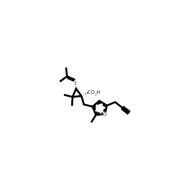 C#CCc1cc(C[C@]2(C(=O)O)[C@@H](C=C(C)C)C2(C)C)c(C)o1